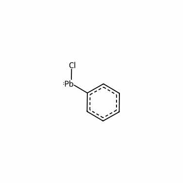 [Cl][Pb][c]1ccccc1